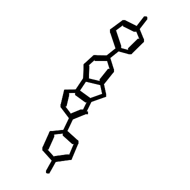 Cc1ccc(-c2[c]c3c(cc2)-c2ccc(-c4ccc(C)cc4)cc2C3)cc1